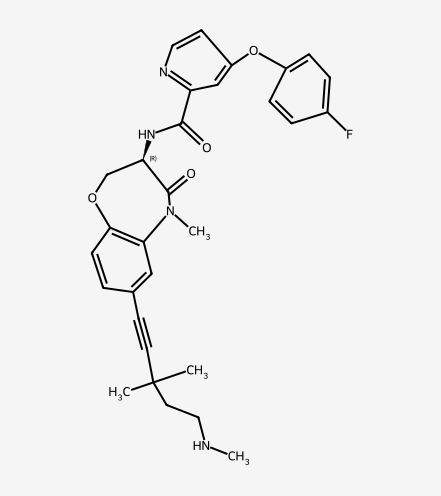 CNCCC(C)(C)C#Cc1ccc2c(c1)N(C)C(=O)[C@H](NC(=O)c1cc(Oc3ccc(F)cc3)ccn1)CO2